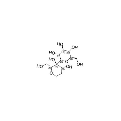 OC[C@H]1O[C@H]([C@]2(O)[C@H](O)C[CH]O[C@@H]2CO)[C@H](O)[C@@H](O)[C@@H]1O